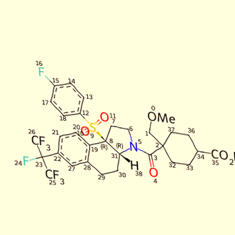 COCC1(C(=O)N2CC[C@@]3(S(=O)(=O)c4ccc(F)cc4)c4ccc(C(F)(C(F)(F)F)C(F)(F)F)cc4CC[C@@H]23)CCC(C(=O)O)CC1